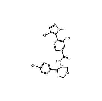 Cn1ncc(Cl)c1-c1ccc(C(=O)N[C@@H]2CNCC[C@H]2c2ccc(Cl)cc2)cc1C#N